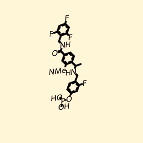 CNc1cc(C(=O)NCc2c(F)cc(F)cc2F)ccc1C(C)NCc1ccc(OP(O)O)cc1F